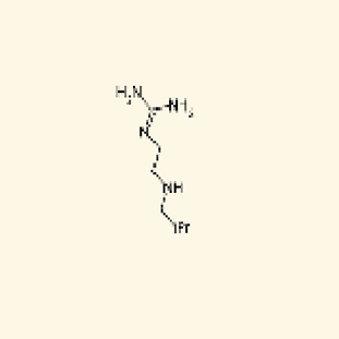 CC(C)CNCCN=C(N)N